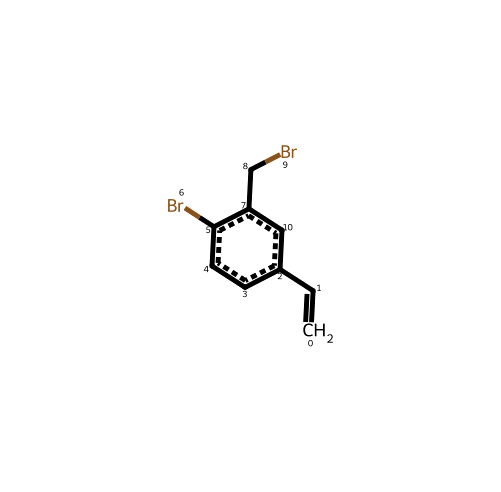 C=Cc1ccc(Br)c(CBr)c1